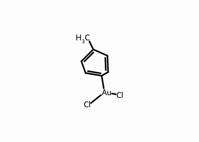 Cc1cc[c]([Au]([Cl])[Cl])cc1